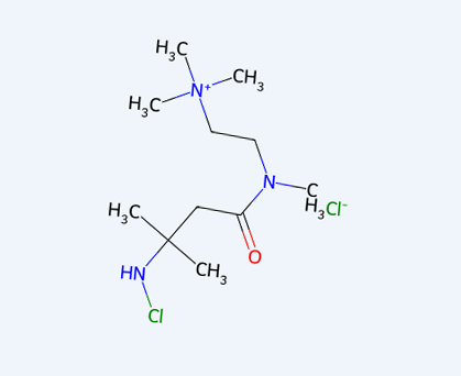 CN(CC[N+](C)(C)C)C(=O)CC(C)(C)NCl.[Cl-]